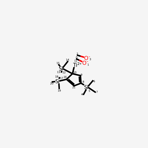 C[O-].C[O-].C[Si](C)(C)C1=C[C]([Ti+2])([Si](C)(C)C)C([Si](C)(C)C)=C1